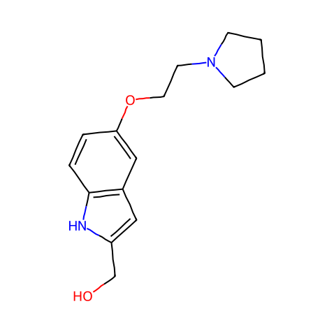 OCc1cc2cc(OCCN3CCCC3)ccc2[nH]1